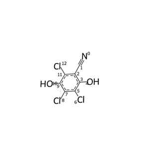 N#Cc1c(O)c(Cl)c(Cl)c(O)c1Cl